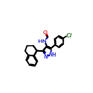 O=CNc1c(C2CCCc3ccccc32)n[nH]c1-c1ccc(Cl)cc1